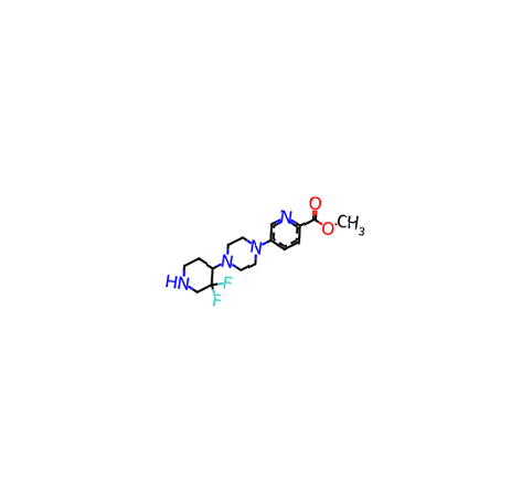 COC(=O)c1ccc(N2CCN(C3CCNCC3(F)F)CC2)cn1